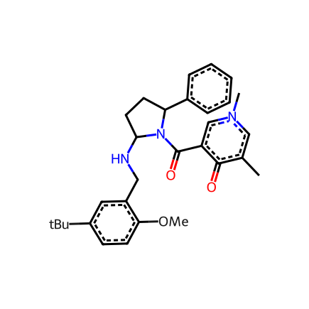 COc1ccc(C(C)(C)C)cc1CNC1CCC(c2ccccc2)N1C(=O)c1cn(C)cc(C)c1=O